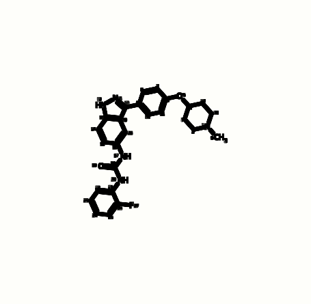 CN1CCC(Oc2ccc(-c3n[nH]c4ccc(NC(=O)Nc5ccccc5F)cc34)cc2)CC1